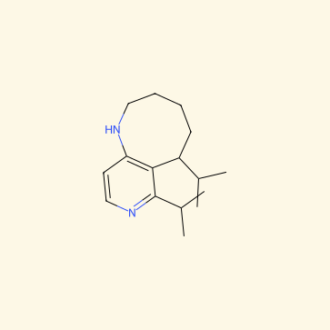 CC(C)c1nccc2c1C(C(C)C)CCCCN2